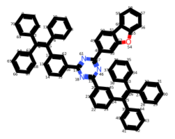 c1ccc(C(=C(c2ccccc2)c2cccc(-c3nc(-c4cccc(C(=C(c5ccccc5)c5ccccc5)c5ccccc5)c4)nc(-c4ccc5c(c4)oc4ccccc45)n3)c2)c2ccccc2)cc1